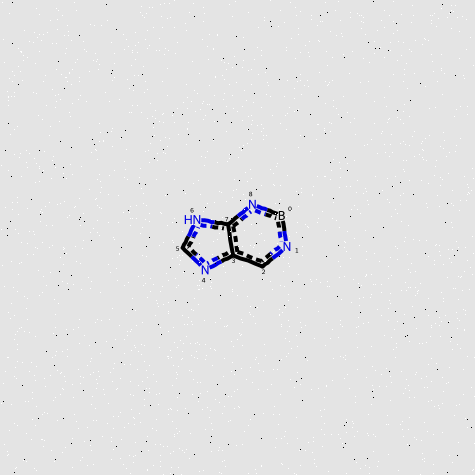 b1ncc2nc[nH]c2n1